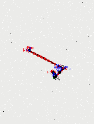 CC[C@@]1(O)C(=O)OCc2c1cc1n(c2=O)Cc2c-1nc1cc(F)c(C)c3c1c2[C@@H](NC(=O)OCc1ccc(NC(=O)[C@H](CCCNC(N)=O)NC(=O)[C@@H](NC(=O)[C@@H](N)CC(=O)NCCOCCOCCOCCOCCOCCOCCOCCOCCOCCOCCOCCOCCC(=O)N(CCN(O)O)CCN(O)O)C(C)C)cc1)CC3